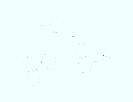 CN(Cc1cccc(OC(F)(F)F)c1)C(=O)C(CCCN1CCC2(CC1)OC(=O)Nc1ccc(F)cc12)c1ccc(Cl)c(Cl)c1